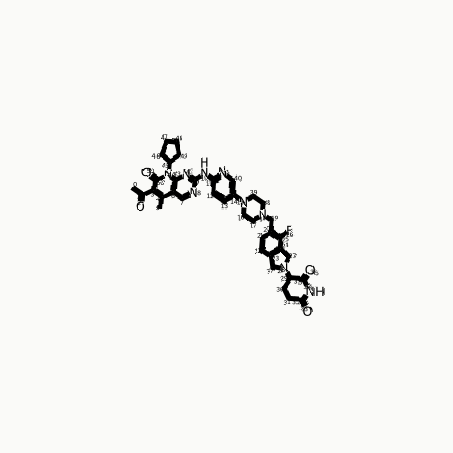 CC(=O)c1c(C)c2cnc(Nc3ccc(N4CCN(Cc5ccc6c(c5F)CN(C5CCC(=O)NC5=O)C6)CC4)cn3)nc2n(C2CCCC2)c1=O